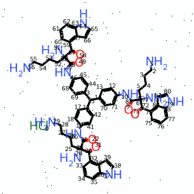 Cl.NCCCC[C@@](N)(C(=O)Nc1ccc(C(c2ccc(NC(=O)[C@](N)(CCCCN)C(=O)c3cccc4[nH]ccc34)cc2)c2ccc(NC(=O)[C@](N)(CCCCN)C(=O)c3cccc4[nH]ccc34)cc2)cc1)C(=O)c1cccc2[nH]ccc12